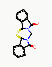 O=C1c2ccccc2C(=S)N1CN1C(=O)c2ccccc2C1=S